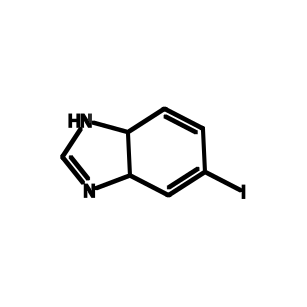 IC1=CC2N=CNC2C=C1